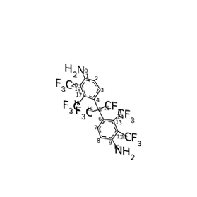 Nc1ccc(C(c2ccc(N)c(C(F)(F)F)c2C(F)(F)F)(C(F)(F)F)C(F)(F)F)c(C(F)(F)F)c1C(F)(F)F